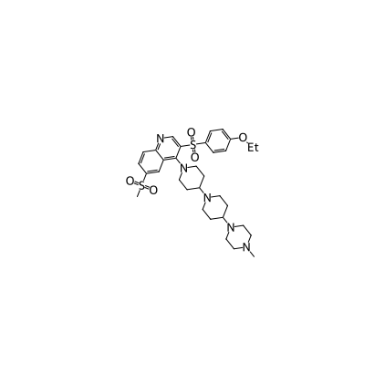 CCOc1ccc(S(=O)(=O)c2cnc3ccc(S(C)(=O)=O)cc3c2N2CCC(N3CCC(N4CCN(C)CC4)CC3)CC2)cc1